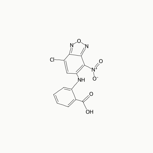 O=C(O)c1ccccc1Nc1cc(Cl)c2nonc2c1[N+](=O)[O-]